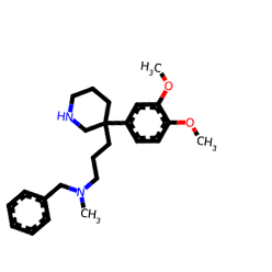 COc1ccc(C2(CCCN(C)Cc3ccccc3)CCCNC2)cc1OC